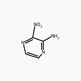 Nc1nccnc1[N+](=O)[O-]